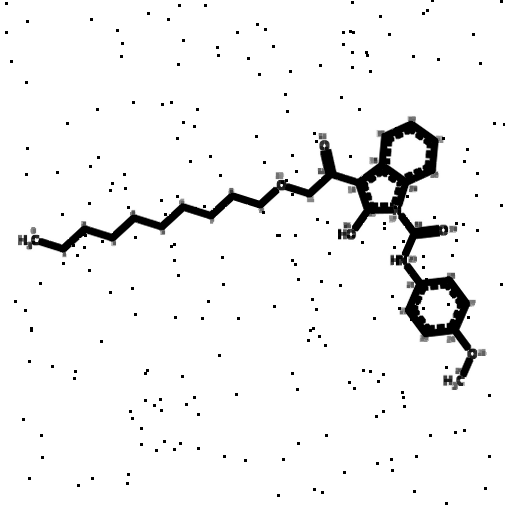 CCCCCCCCCCOCC(=O)c1c(O)n(C(=O)Nc2ccc(OC)cc2)c2ccccc12